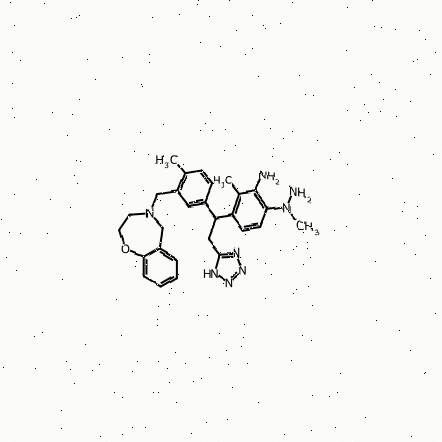 Cc1ccc(C(Cc2nnn[nH]2)c2ccc(N(C)N)c(N)c2C)cc1CN1CCOc2ccccc2C1